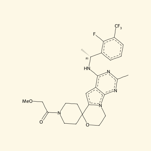 COCC(=O)N1CCC2(CC1)OCCn1c2cc2c(N[C@H](C)c3cccc(C(F)(F)F)c3F)nc(C)nc21